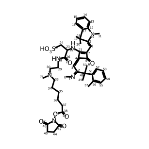 C/N=C(\C=C1/C(=O)C(/C=C2/N(C)c3ccccc3C2(C)C)=C1NC(CS(=O)(=O)O)C(=O)NCCN(C)CCCCCC(=O)ON1C(=O)CCC1=O)C(C)(C)c1ccccc1C